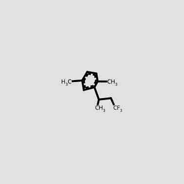 Cc1ccc(C)c(C(C)CC(F)(F)F)c1